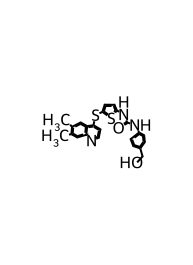 Cc1cc2nccc(Sc3ccc(NC(=O)Nc4ccc(CO)cc4)s3)c2cc1C